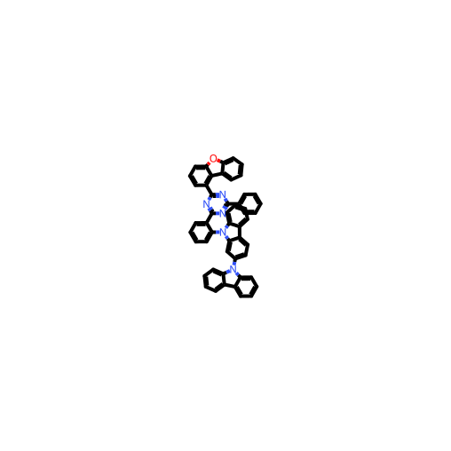 c1ccc(-c2nc(-c3ccccc3-n3c4ccccc4c4ccc(-n5c6ccccc6c6ccccc65)cc43)nc(-c3cccc4oc5ccccc5c34)n2)cc1